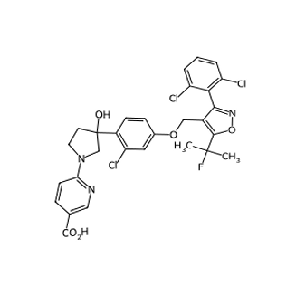 CC(C)(F)c1onc(-c2c(Cl)cccc2Cl)c1COc1ccc(C2(O)CCN(c3ccc(C(=O)O)cn3)C2)c(Cl)c1